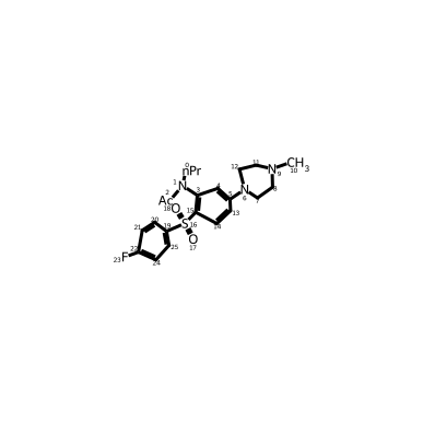 CCCN(C(C)=O)c1cc(N2CCN(C)CC2)ccc1S(=O)(=O)c1ccc(F)cc1